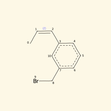 C/C=C\c1cccc(CBr)c1